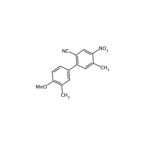 COc1ccc(-c2cc(C)c([N+](=O)[O-])cc2C#N)cc1C